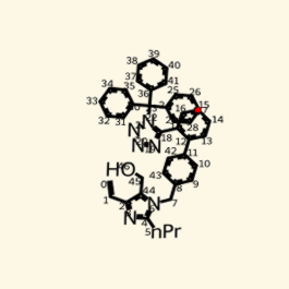 C=Cc1nc(CCC)n(Cc2ccc(-c3ccccc3-c3nnnn3C(c3ccccc3)(c3ccccc3)c3ccccc3)cc2)c1CO